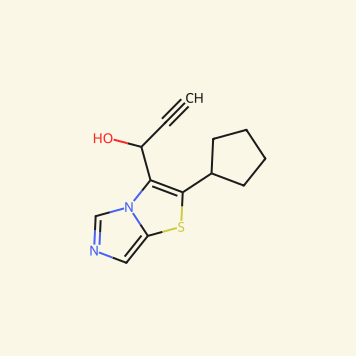 C#CC(O)c1c(C2CCCC2)sc2cncn12